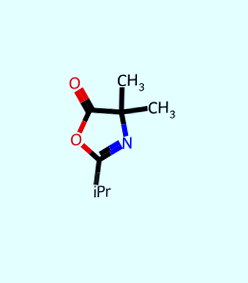 CC(C)C1=NC(C)(C)C(=O)O1